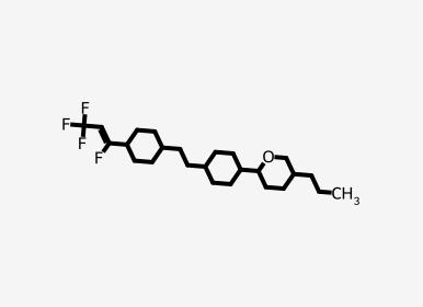 CCCC1CCC(C2CCC(CCC3CCC(/C(F)=C/C(F)(F)F)CC3)CC2)OC1